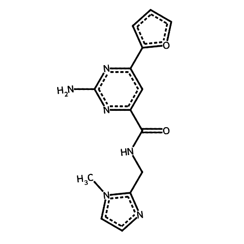 Cn1ccnc1CNC(=O)c1cc(-c2ccco2)nc(N)n1